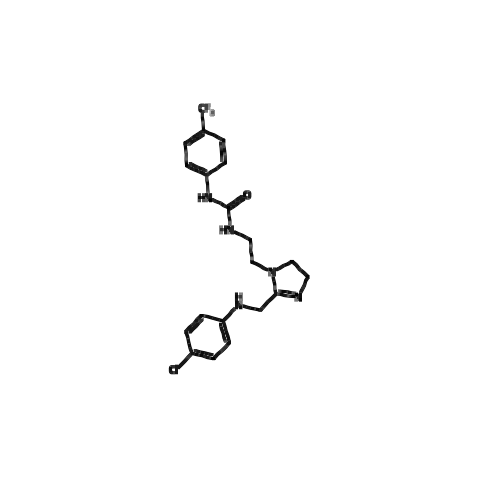 O=C(NCCN1CCN=C1CNc1ccc(Cl)cc1)Nc1ccc(C(F)(F)F)cc1